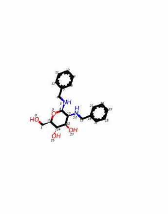 OC[C@H]1O[C@@H](NCc2ccccc2)[C@@H](NCc2ccccc2)[C@@H](O)[C@@H]1O